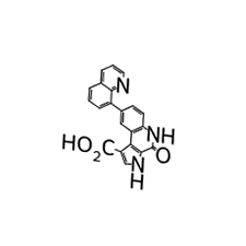 O=C(O)c1c[nH]c2c(=O)[nH]c3ccc(-c4cccc5cccnc45)cc3c12